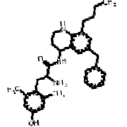 CCCCc1cc(Cc2ccccc2)cc2c1NCCC2NC(=O)C(N)Cc1c(C)cc(O)cc1C